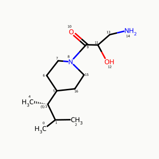 CC(C)[C@H](C)C1CCN(C(=O)C(O)CN)CC1